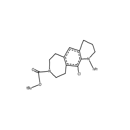 CCCN1CCCc2cc3c(c(Cl)c21)CCN(C(=O)OC(C)(C)C)CC3